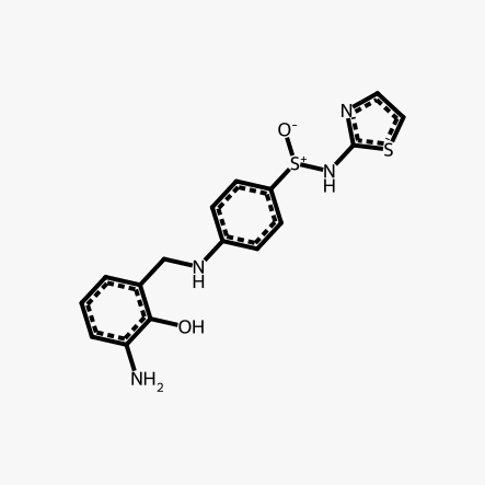 Nc1cccc(CNc2ccc([S+]([O-])Nc3nccs3)cc2)c1O